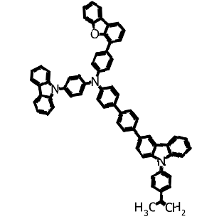 C=C(C)c1ccc(-n2c3ccccc3c3cc(-c4ccc(-c5ccc(N(c6ccc(-c7cccc8c7oc7ccccc78)cc6)c6ccc(-n7c8ccccc8c8ccccc87)cc6)cc5)cc4)ccc32)cc1